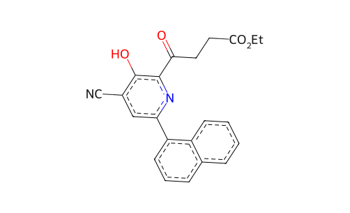 CCOC(=O)CCC(=O)c1nc(-c2cccc3ccccc23)cc(C#N)c1O